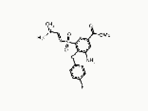 COC(=O)c1cc(N)c(Oc2ccc(F)cc2)c(S(=O)(=O)N=CN(C)C)c1